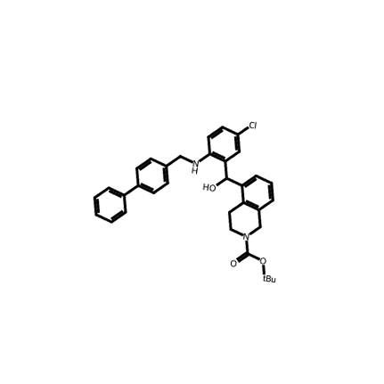 CC(C)(C)OC(=O)N1CCc2c(cccc2C(O)c2cc(Cl)ccc2NCc2ccc(-c3ccccc3)cc2)C1